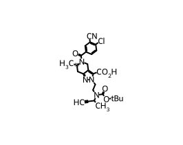 C#CC(C)N(CCn1nc2c(c1C(=O)O)CN(C(=O)c1ccc(Cl)c(C#N)c1)[C@H](C)C2)C(=O)OC(C)(C)C